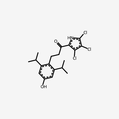 CC(C)c1cc(O)cc(C(C)C)c1CCC(=O)c1[nH]c(Cl)c(Cl)c1Cl